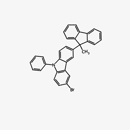 CC1(c2ccc3c(c2)c2cc(Br)ccc2n3-c2ccccc2)c2ccccc2-c2ccccc21